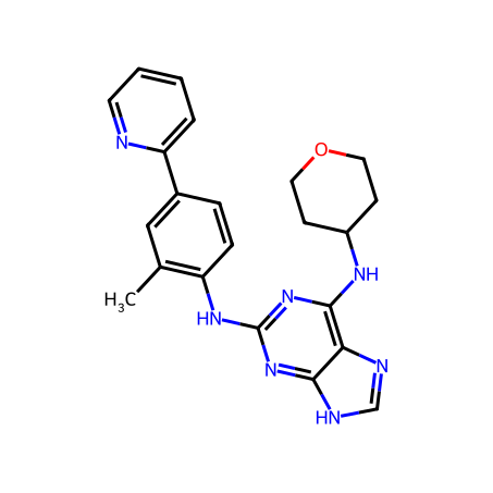 Cc1cc(-c2ccccn2)ccc1Nc1nc(NC2CCOCC2)c2nc[nH]c2n1